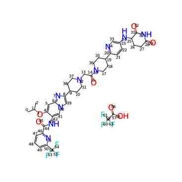 CC(C)Oc1cc2nc(C3CCN(CC(=O)N4CCC(c5ccc(NC6CCC(=O)NC6=O)cn5)CC4)CC3)cn2cc1NC(=O)c1cccc(C(F)(F)F)n1.O=C(O)C(F)(F)F